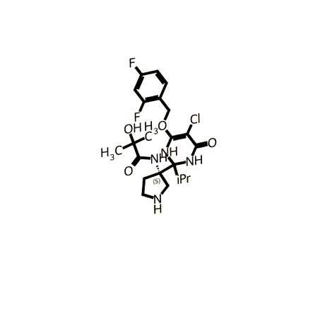 CC(C)C1([C@]2(NC(=O)C(C)(C)O)CCNC2)NC(=O)C(Cl)=C(OCc2ccc(F)cc2F)N1